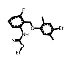 CCOC(=S)Nc1cccc(F)c1COc1cc(C)c(CC)cc1C